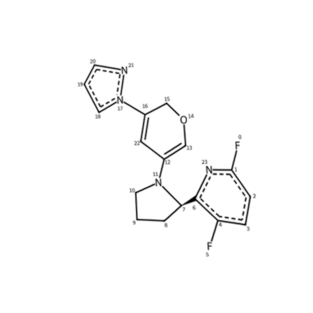 Fc1ccc(F)c([C@H]2CCCN2C2=COCC(n3cccn3)=C2)n1